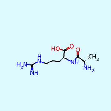 C[C@H](N)C(=O)N[C@H](CCCNC(=N)N)C(=O)O